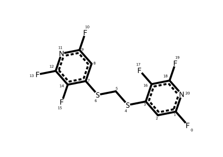 Fc1cc(SCSc2cc(F)nc(F)c2F)c(F)c(F)n1